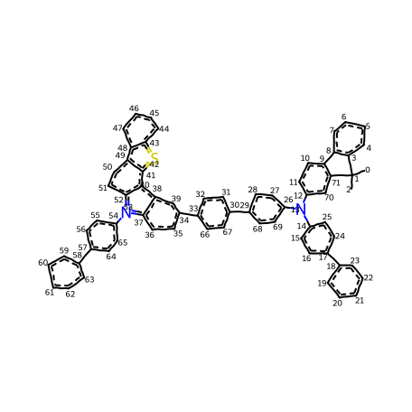 CC1(C)c2ccccc2-c2ccc(N(c3ccc(-c4ccccc4)cc3)c3ccc(-c4ccc(-c5ccc6c(c5)c5c7sc8ccccc8c7ccc5n6-c5ccc(-c6ccccc6)cc5)cc4)cc3)cc21